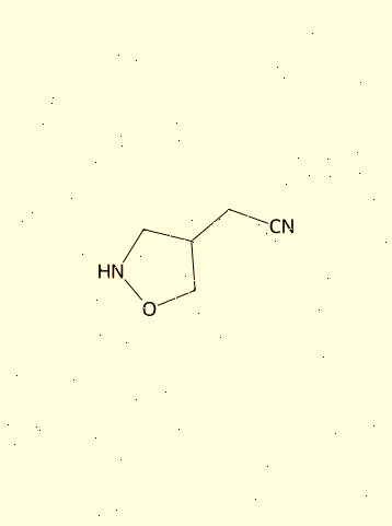 N#CCC1CNOC1